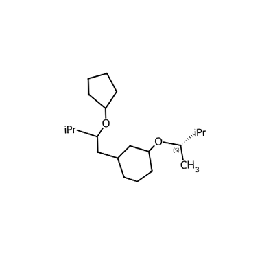 CC(C)C(CC1CCCC(O[C@@H](C)C(C)C)C1)OC1CCCC1